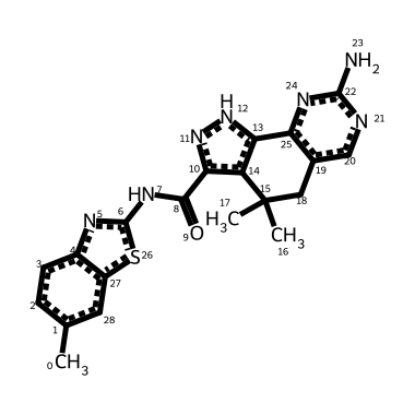 Cc1ccc2nc(NC(=O)c3n[nH]c4c3C(C)(C)Cc3cnc(N)nc3-4)sc2c1